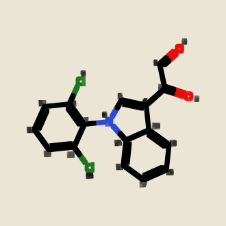 O=CC(=O)c1cn(-c2c(Cl)cccc2Cl)c2ccccc12